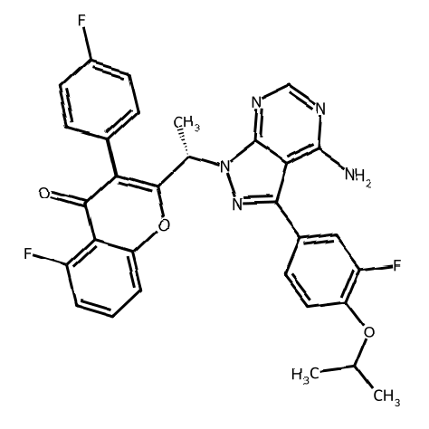 CC(C)Oc1ccc(-c2nn([C@@H](C)c3oc4cccc(F)c4c(=O)c3-c3ccc(F)cc3)c3ncnc(N)c23)cc1F